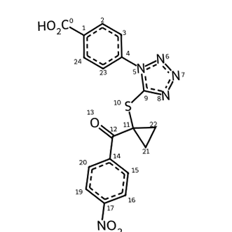 O=C(O)c1ccc(-n2nnnc2SC2(C(=O)c3ccc([N+](=O)[O-])cc3)CC2)cc1